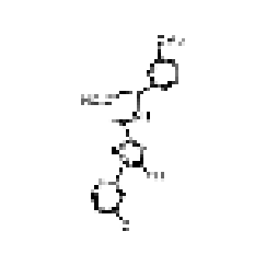 COc1cccc([C@H](CC(=O)O)NC(=O)c2cc(O)n(-c3cccc(Cl)c3)n2)c1